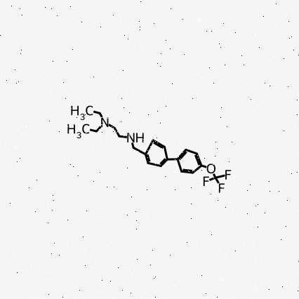 CCN(CC)CCNCc1ccc(-c2ccc(OC(F)(F)F)cc2)cc1